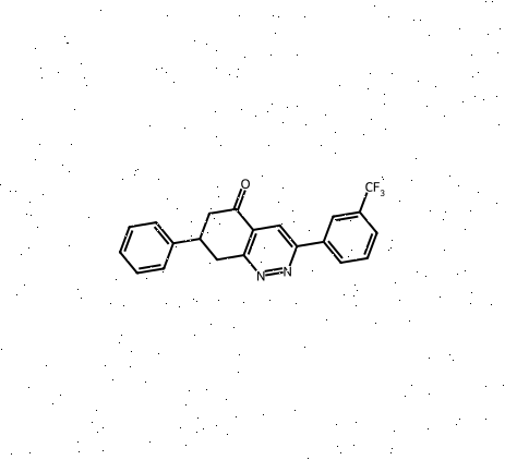 O=C1CC(c2ccccc2)Cc2nnc(-c3cccc(C(F)(F)F)c3)cc21